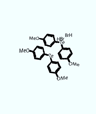 Br.Br.COc1ccc([Te]c2ccc(OC)cc2)cc1.COc1ccc([Te]c2ccc(OC)cc2)cc1